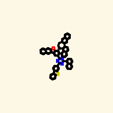 c1ccc2cc3c(cc2c1)CC[C@@H](c1cc(-c2nc(-c4ccc5c(c4)sc4ccccc45)nc(-c4cccc5ccccc45)n2)cc2c1oc1cc4ccccc4cc12)c1c-3ccc2ccccc12